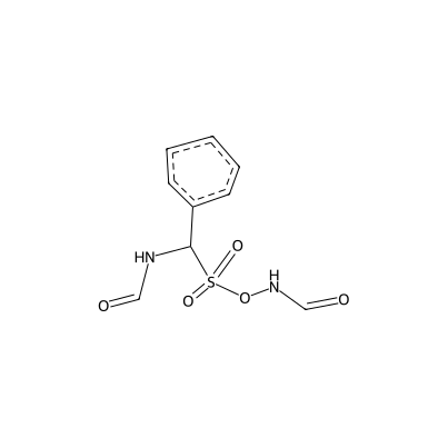 O=CNOS(=O)(=O)C(NC=O)c1ccccc1